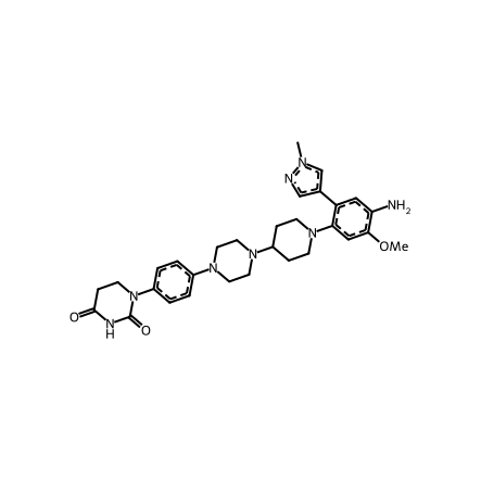 COc1cc(N2CCC(N3CCN(c4ccc(N5CCC(=O)NC5=O)cc4)CC3)CC2)c(-c2cnn(C)c2)cc1N